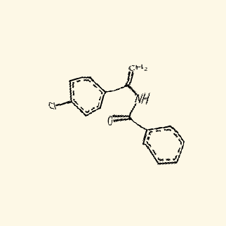 C=C(NC(=O)c1ccccc1)c1ccc(Cl)cc1